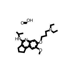 CCN(CC)CCCOc1cc2nc(NC(C)C)c3c(c2cc1OC)CCC3.O=CO